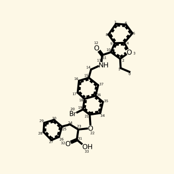 CCc1oc2ccccc2c1C(=O)NCc1ccc2c(Br)c(OC(Cc3ccccc3)C(=O)O)ccc2c1